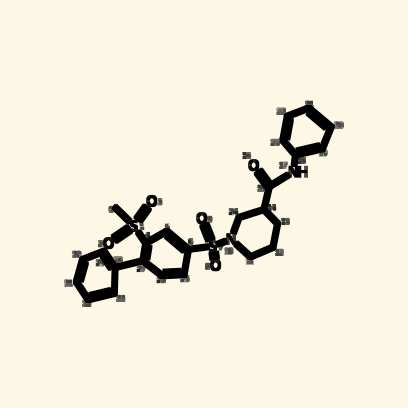 CS(=O)(=O)c1cc(S(=O)(=O)N2CCCC(C(=O)Nc3ccccc3)C2)ccc1-c1ccccc1